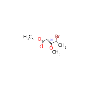 CCOC(=O)/C=C(\OC)C(C)Br